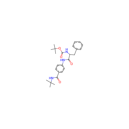 CC(C)(C)NC(=O)c1ccc(NC(=O)C(Cc2ccccc2)NC(=O)OC(C)(C)C)cc1